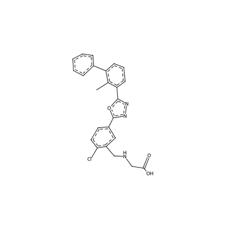 Cc1c(-c2ccccc2)cccc1-c1nnc(-c2ccc(Cl)c(CNCC(=O)O)c2)o1